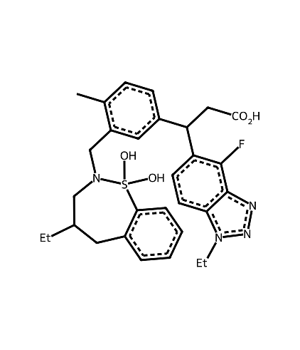 CCC1Cc2ccccc2S(O)(O)N(Cc2cc(C(CC(=O)O)c3ccc4c(nnn4CC)c3F)ccc2C)C1